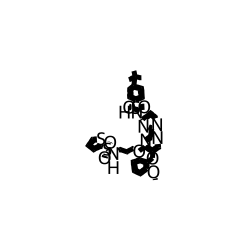 COc1ccccc1Oc1cnc(-c2nccc(NS(=O)(=O)c3ccc(C(C)(C)C)cc3)n2)nc1OCCCNS(=O)(=O)c1cccs1